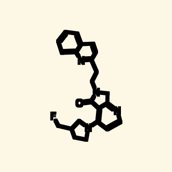 O=C1c2c(N3CCC(CF)C3)ccnc2CN1CCc1ccc2ccccc2n1